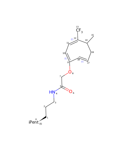 CCC[C@H](C)CCCNC(=O)COC1=C/C=C(/C(F)(F)F)C(C)C\C=C\1